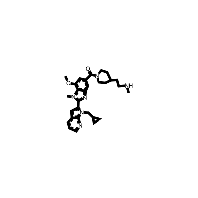 CNCCC1CCN(C(=O)c2cc(OC)c3c(c2)nc(-c2cc4cccnc4n2CC2CC2)n3C)CC1